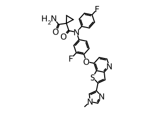 Cn1cnc(-c2cc3nccc(Oc4ccc(N(C(=O)C5(C(N)=O)CC5)c5ccc(F)cc5)cc4F)c3s2)c1